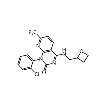 O=c1nc(NCC2CCO2)c2ccc(C(F)(F)F)nc2n1-c1ccccc1Cl